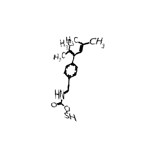 CC(C)=CC(=C(C)C)c1ccc(CNC(=O)OS)cc1